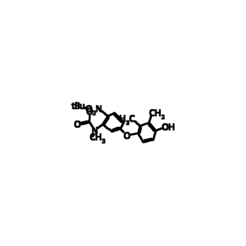 Cc1c(O)ccc(Oc2ccc([N+](=O)[O-])c(N(C)C(=O)OC(C)(C)C)c2)c1C